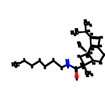 CCCCCCCNC(=O)[C@@]1(C)C[C@H]2C3=C(C=C3C(C)C)CCC21